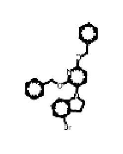 Brc1cccc2c1CCN2c1ccc(OCc2ccccc2)nc1OCc1ccccc1